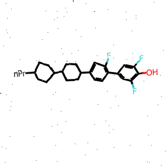 CCCC1CCC(C2CCC(c3ccc(-c4cc(F)c(O)c(F)c4)c(F)c3)CC2)CC1